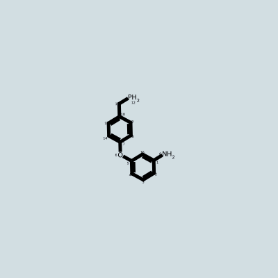 Nc1cccc(Oc2ccc(CP)cc2)c1